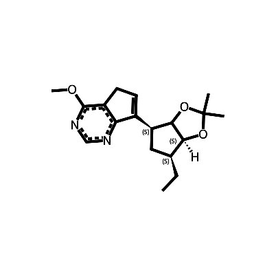 CC[C@H]1C[C@@H](C2=CCc3c(OC)ncnc32)C2OC(C)(C)O[C@H]21